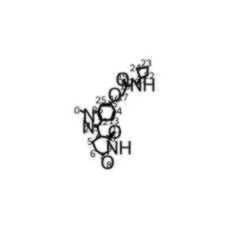 Cn1nc(C2CCC(=O)NC2=O)c2ccc(OCC(=O)NC3CCC3)cc21